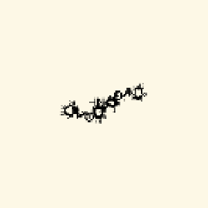 c1cc2c(cc1OCCN1CCCCC1)[nH]c1cc(OCCN3CCCCC3)ccc12